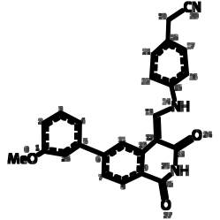 COc1cccc(-c2ccc3c(c2)C(=CNc2ccc(CC#N)cc2)C(=O)NC3=O)c1